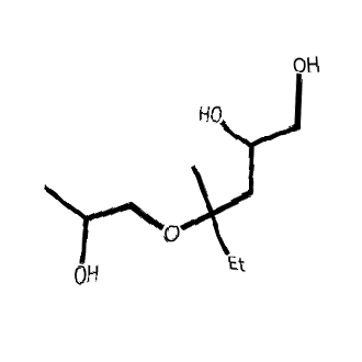 CCC(C)(CC(O)CO)OCC(C)O